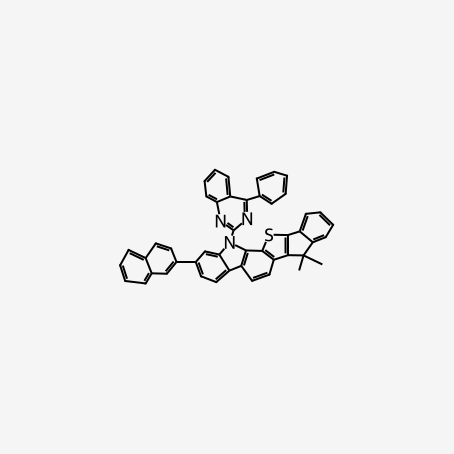 CC1(C)c2ccccc2-c2sc3c(ccc4c5ccc(-c6ccc7ccccc7c6)cc5n(-c5nc(-c6ccccc6)c6ccccc6n5)c43)c21